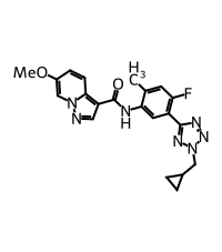 COc1ccc2c(C(=O)Nc3cc(-c4nnn(CC5CC5)n4)c(F)cc3C)cnn2c1